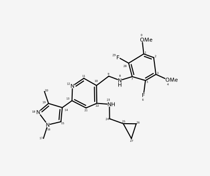 COc1cc(OC)c(F)c(NCc2cnc(-c3cn(C)nc3C)cc2NCC2CC2)c1F